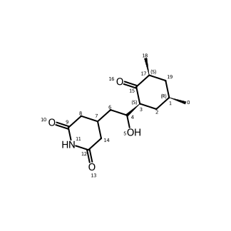 C[C@H]1C[C@@H](C(O)CC2CC(=O)NC(=O)C2)C(=O)[C@@H](C)C1